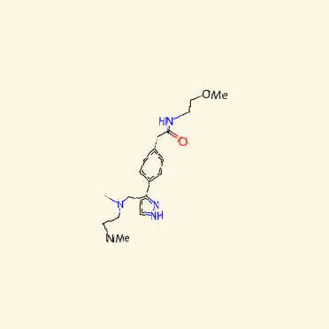 CNCCN(C)Cc1c[nH]nc1-c1ccc(CC(=O)NCCOC)cc1